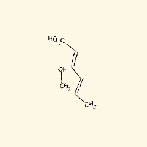 CC=CC=CC(=O)O.CO